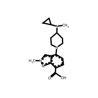 CN(C1CC1)C1CCN(c2ccc(C(=O)O)c3nn(C)cc23)CC1